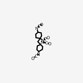 O=C=NC1CCC(CC2(N=C=O)CCC(N=C=O)CC2)(N=C=O)CC1